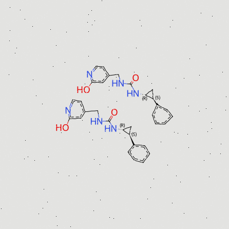 O=C(NCc1ccnc(O)c1)N[C@@H]1C[C@H]1c1ccccc1.O=C(NCc1ccnc(O)c1)N[C@@H]1C[C@H]1c1ccccc1